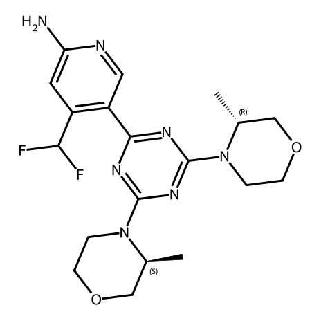 C[C@@H]1COCCN1c1nc(-c2cnc(N)cc2C(F)F)nc(N2CCOC[C@@H]2C)n1